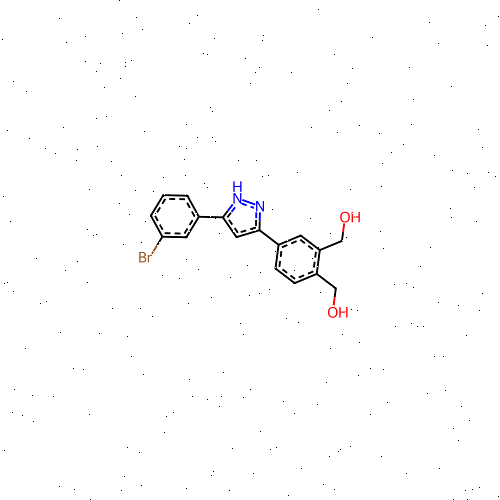 OCc1ccc(-c2cc(-c3cccc(Br)c3)[nH]n2)cc1CO